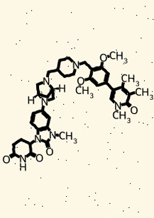 COc1cc(-c2cn(C)c(=O)c(C)c2C)cc(OC)c1CN1CCC(CN2C[C@@H]3C[C@H]2CN3c2ccc3c(c2)n(C)c(=O)n3C2CCC(=O)NC2=O)CC1